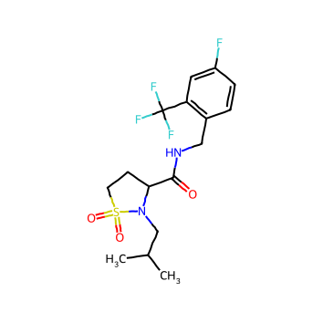 CC(C)CN1C(C(=O)NCc2ccc(F)cc2C(F)(F)F)CCS1(=O)=O